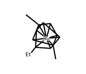 CC[C]12[CH]3[CH]4[CH]5[CH]1[Ru]45321678[CH]2[CH]1[C]6(C)[CH]7[C]28C